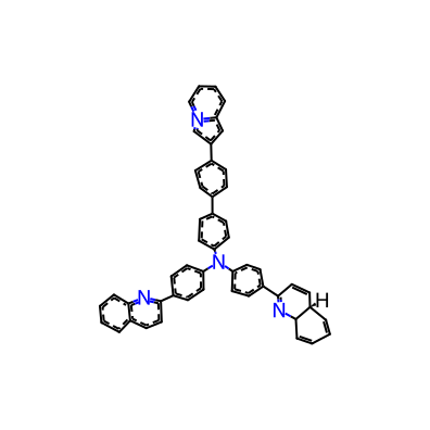 C1=CC2N=C(c3ccc(N(c4ccc(-c5ccc(-c6cc7ccccn7c6)cc5)cc4)c4ccc(-c5ccc6ccccc6n5)cc4)cc3)C=C[C@@H]2C=C1